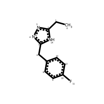 CCc1nnc(Cc2ccc(F)cc2)[nH]1